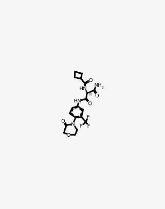 NC(=O)[C@H](NC(=O)C1CCC1)C(=O)Nc1ccc(N2CCOCC2=O)c(C(F)(F)F)c1